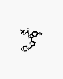 CC(C)(C)OC(=O)n1nc(-c2ccc(CN3CCOCC3)s2)c2cc(Br)ccc21